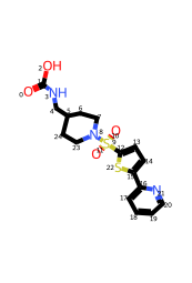 O=C(O)NCC1CCN(S(=O)(=O)c2ccc(-c3ccccn3)s2)CC1